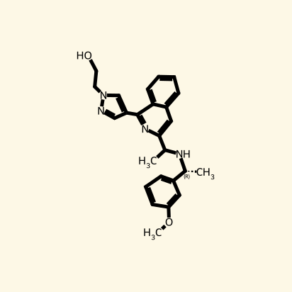 COc1cccc([C@@H](C)NC(C)c2cc3ccccc3c(-c3cnn(CCO)c3)n2)c1